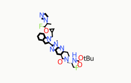 CC(C(F)Oc1cccc2cc(-c3nc4cc5c(nc4n3C)CCN(C[C@@H](CF)NC(=O)OC(C)(C)C)C5=O)n(CC3CC3)c12)n1ccnc1